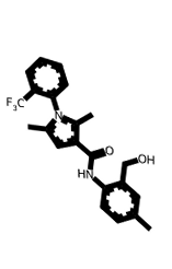 Cc1ccc(NC(=O)c2cc(C)n(-c3ccccc3C(F)(F)F)c2C)c(CO)c1